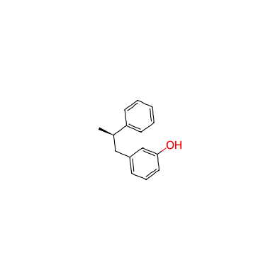 C[C@H](Cc1cccc(O)c1)c1ccccc1